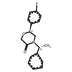 C[C@H](c1ccccc1)N1C[C@H](c2ccc(F)cc2)OCC1=O